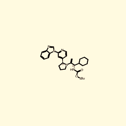 C=C([C@@H](NC(=O)OC(C)(C)C)C1CCCCC1)N1CCC[C@H]1c1ccnc(-n2cnc3ccccc32)c1